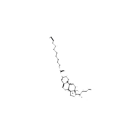 CCCCCCCC/C=C\CCCCCCCCOC(=O)OC1CC[C@@]2(C)C(=CC[C@H]3[C@@H]4CC[C@H]([C@H](C)CCCC(C)C)[C@@]4(C)CC[C@@H]32)C1